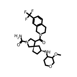 COC1COCCC1N[C@H]1CC[C@@]2(C1)CN(C(N)=O)CC2C(=O)N1CCc2ccc(C(F)(F)F)cc2C1